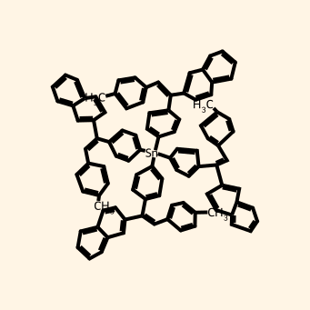 Cc1ccc(/C=C(\c2cc[c]([Sn]([c]3ccc(/C(=C\c4ccc(C)cc4)c4ccc5ccccc5c4)cc3)([c]3ccc(/C(=C\c4ccc(C)cc4)c4ccc5ccccc5c4)cc3)[c]3ccc(/C(=C\c4ccc(C)cc4)c4ccc5ccccc5c4)cc3)cc2)c2ccc3ccccc3c2)cc1